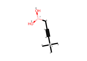 C[Si](C)(C)C#CCB(O)O